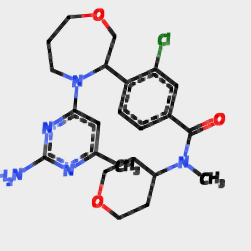 Cc1cc(N2CCCOCC2c2ccc(C(=O)N(C)C3CCOCC3)cc2Cl)nc(N)n1